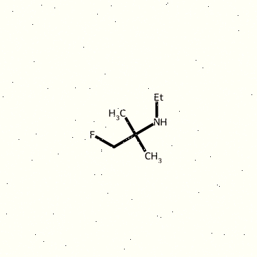 CCNC(C)(C)CF